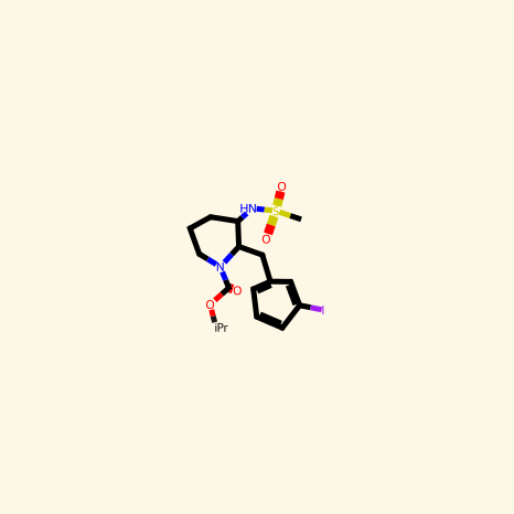 CC(C)OC(=O)N1CCCC(NS(C)(=O)=O)C1Cc1cccc(I)c1